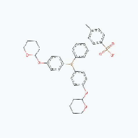 Cc1ccc(S(=O)(=O)[O-])cc1.c1ccc([S+](c2ccc(OC3CCCCO3)cc2)c2ccc(OC3CCCCO3)cc2)cc1